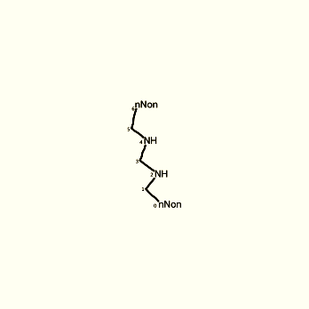 CCCCCCCCCCNCNCCCCCCCCCC